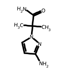 CC(C)(C(N)=O)n1ccc(N)n1